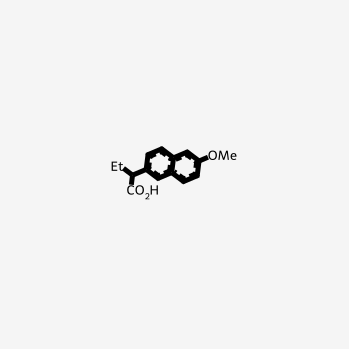 CCC(C(=O)O)c1ccc2cc(OC)ccc2c1